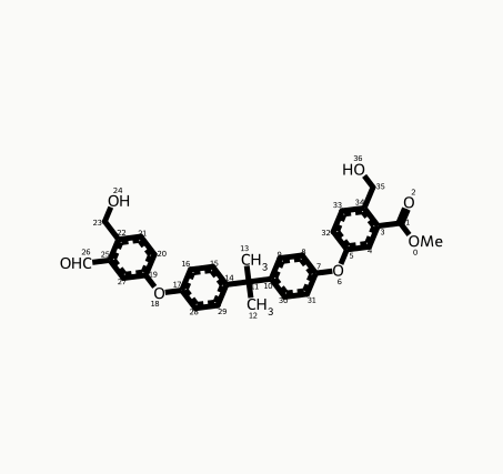 COC(=O)c1cc(Oc2ccc(C(C)(C)c3ccc(Oc4ccc(CO)c(C=O)c4)cc3)cc2)ccc1CO